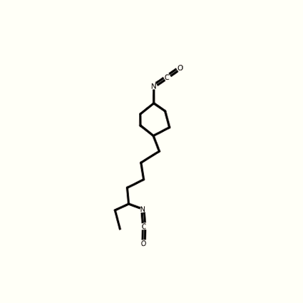 CCC(CCCCC1CCC(N=C=O)CC1)N=C=O